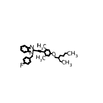 CCCCC(CC)COc1cc(C)c(C#Cc2nc3ccccc3n2Cc2ccc(F)cc2)c(C)c1